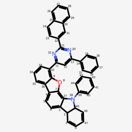 C1=CC2c3ccc4c(oc5c(-c6cc(-c7ccccc7)nc(-c7ccc8ccccc8c7)n6)cccc54)c3N(c3ccccc3)C2C=C1